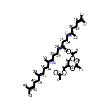 CC(=O)OCC(COC(C)=O)OC(C)=O.CC(C)=CCC/C(C)=C/CC/C(C)=C/CC/C=C(\C)CC/C=C(\C)CCC=C(C)C